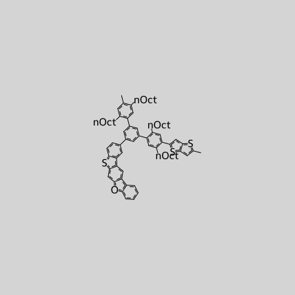 CCCCCCCCc1cc(-c2cc(-c3ccc4sc5cc6oc7ccccc7c6cc5c4c3)cc(-c3cc(CCCCCCCC)c(-c4cc5sc(C)cc5s4)cc3CCCCCCCC)c2)c(CCCCCCCC)cc1C